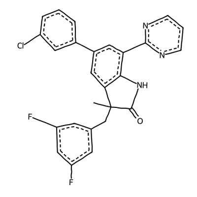 CC1(Cc2cc(F)cc(F)c2)C(=O)Nc2c(-c3ncccn3)cc(-c3cccc(Cl)c3)cc21